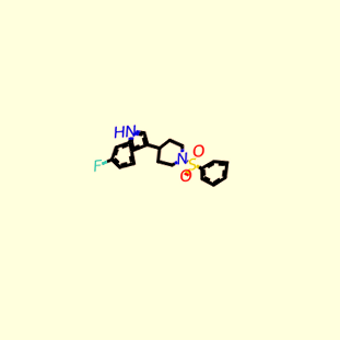 O=S(=O)(c1ccccc1)N1CCC(c2c[nH]c3cc(F)ccc23)CC1